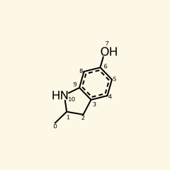 CC1Cc2ccc(O)cc2N1